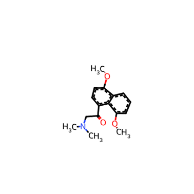 COc1ccc(C(=O)CN(C)C)c2c(OC)cccc12